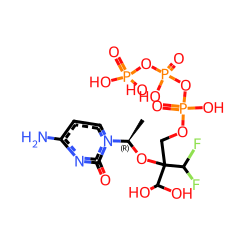 C[C@@H](OC(COP(=O)(O)OP(=O)(O)OP(=O)(O)O)(C(O)O)C(F)F)n1ccc(N)nc1=O